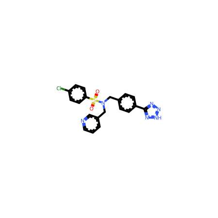 O=S(=O)(c1ccc(Cl)cc1)N(Cc1ccc(-c2nn[nH]n2)cc1)Cc1cccnc1